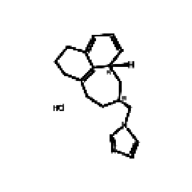 C1=C[C@@H]2C[C@@H](Cn3ccnc3)CCC3=C2C(=C1)CCC3.Cl